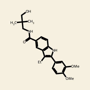 CCc1c(-c2ccc(OC)c(OC)c2)[nH]c2ccc(C(=O)NCC(C)(C)CO)cc12